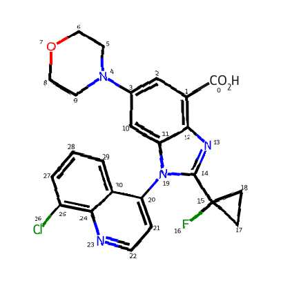 O=C(O)c1cc(N2CCOCC2)cc2c1nc(C1(F)CC1)n2-c1ccnc2c(Cl)cccc12